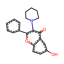 O=c1c(N2CCCCC2)c(-c2ccccc2)oc2ccc(O)cc12